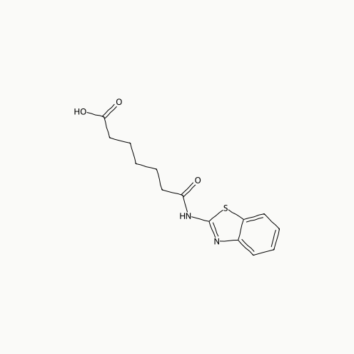 O=C(O)CCCCCC(=O)Nc1nc2ccccc2s1